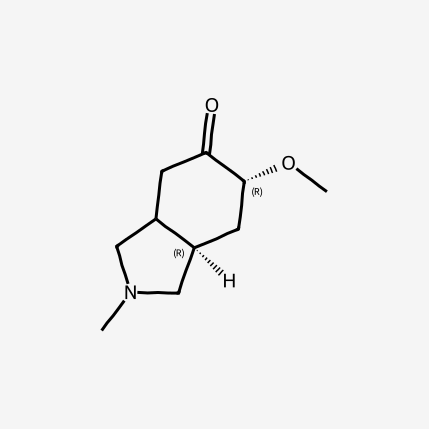 CO[C@@H]1C[C@H]2CN(C)CC2CC1=O